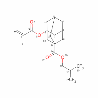 C=C(C)C(=O)OC12CC3CC(C1)CC(C(=O)OCC(C(F)(F)F)C(F)(F)F)(C3)C2